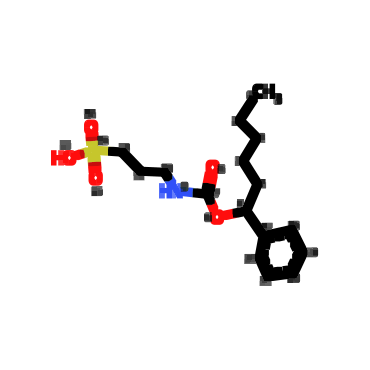 CCCCCC(OC(=O)NCCCS(=O)(=O)O)c1ccccc1